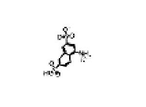 Nc1cc(S(=O)(=O)[O-])cc2cc(S(=O)(=O)O)ccc12.[K+]